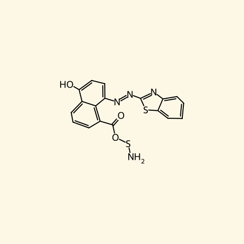 NSOC(=O)c1cccc2c(O)ccc(/N=N/c3nc4ccccc4s3)c12